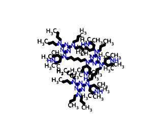 C=C=C=CN(CCCC)c1nc(N(CCCC)CCCC)nc(N(CCCCCCN(c2nc(N(CCCC)C3CC(C)(C)NC(C)(C)C3)nc(N(CCCCCCN(c3nc(N(CCCC)CCCC)nc(N(CCCC)CCCC)n3)C3CC(C)(C)NC(C)(C)C3)C3CC(C)(C)NC(C)(C)C3)n2)C2CC(C)(C)NC(C)(C)C2)C2CC(C)(C)NC(C)(C)C2)n1